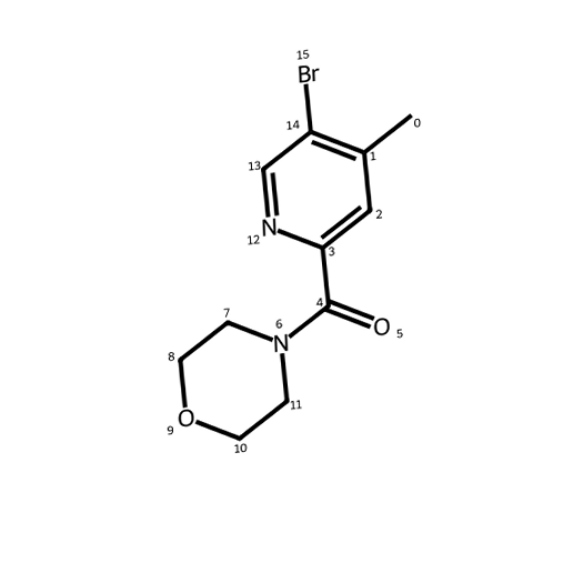 Cc1cc(C(=O)N2CCOCC2)ncc1Br